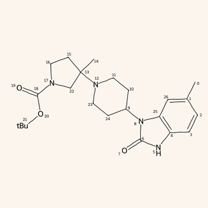 Cc1ccc2[nH]c(=O)n(C3CCN(C4(C)CCN(C(=O)OC(C)(C)C)C4)CC3)c2c1